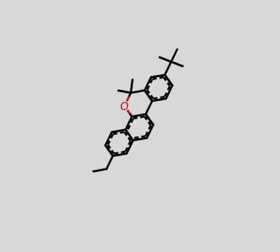 CCc1ccc2c3c(ccc2c1)-c1ccc(C(C)(C)C)cc1C(C)(C)O3